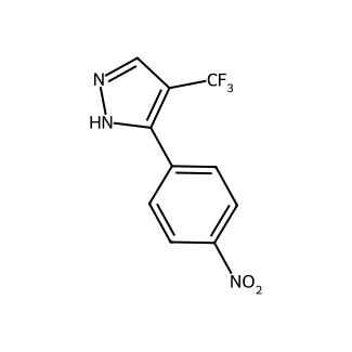 O=[N+]([O-])c1ccc(-c2[nH]ncc2C(F)(F)F)cc1